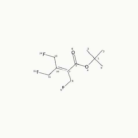 CC(C)(C)OC(=O)C(CF)=C(CF)CF